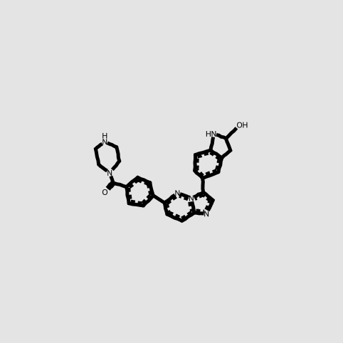 O=C(c1ccc(-c2ccc3ncc(-c4ccc5c(c4)CC(O)N5)n3n2)cc1)N1CCNCC1